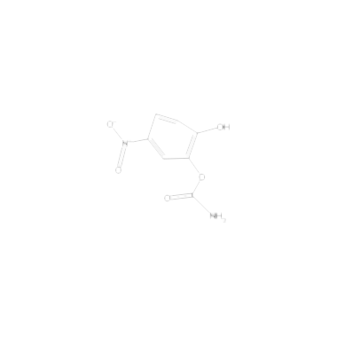 NC(=O)Oc1cc([N+](=O)[O-])ccc1O